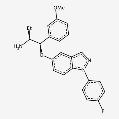 CC[C@H](N)[C@H](Oc1ccc2c(cnn2-c2ccc(F)cc2)c1)c1cccc(OC)c1